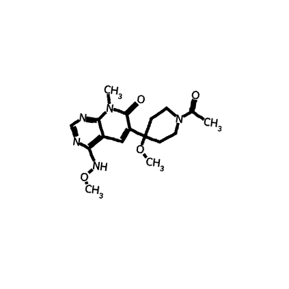 CONc1ncnc2c1cc(C1(OC)CCN(C(C)=O)CC1)c(=O)n2C